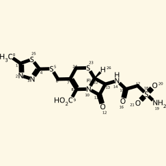 Cc1nnc(SCC2=C(C(=O)O)N3C(=O)C(NC(=O)CS(N)(=O)=O)[C@H]3SC2)s1